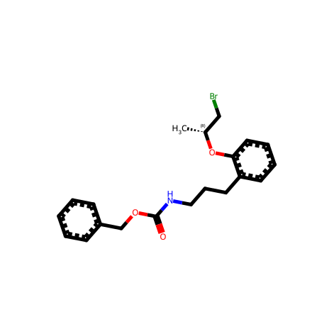 C[C@H](CBr)Oc1ccccc1CCCNC(=O)OCc1ccccc1